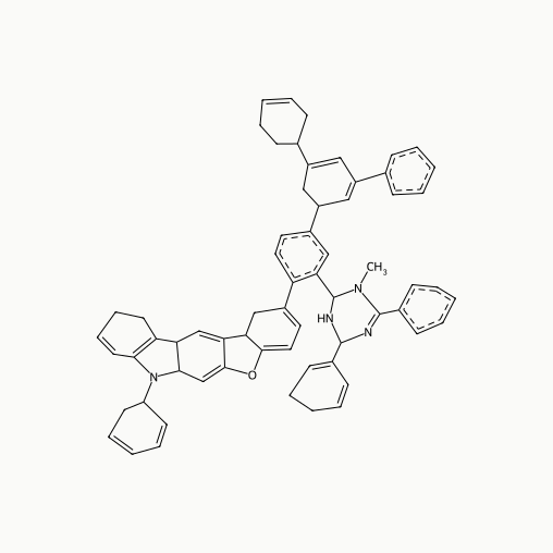 CN1C(c2ccccc2)=NC(C2=CCCC=C2)NC1c1cc(C2C=C(c3ccccc3)C=C(C3CC=CCC3)C2)ccc1C1=CC=C2OC3=CC4C(C=C3C2C1)C1=C(C=CCC1)N4C1C=CC=CC1